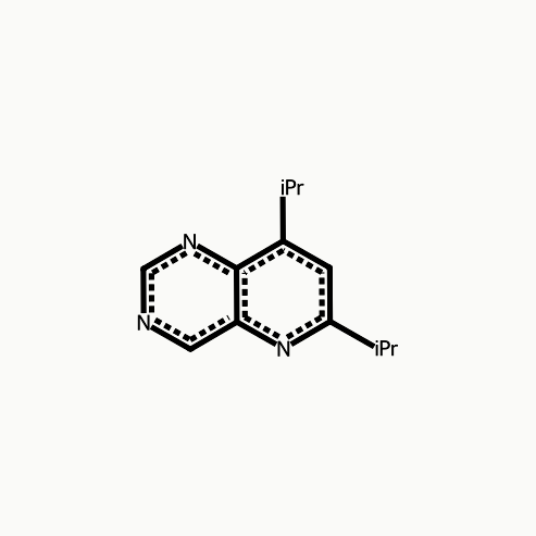 CC(C)c1cc(C(C)C)c2ncncc2n1